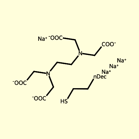 CCCCCCCCCCCCS.O=C([O-])CN(CCN(CC(=O)[O-])CC(=O)[O-])CC(=O)[O-].[Na+].[Na+].[Na+].[Na+]